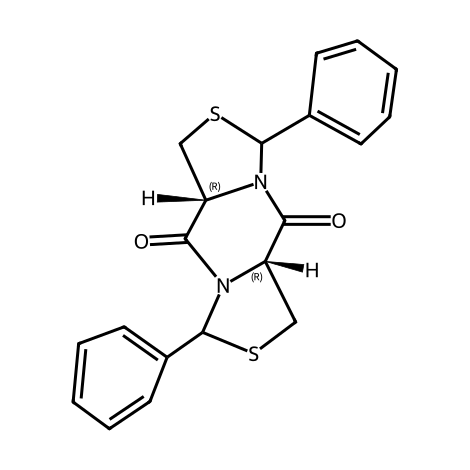 O=C1[C@@H]2CSC(c3ccccc3)N2C(=O)[C@@H]2CSC(c3ccccc3)N12